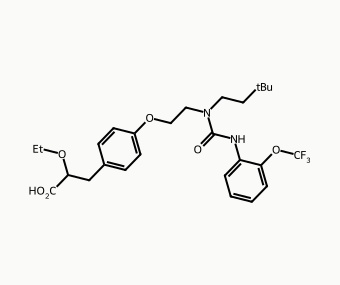 CCOC(Cc1ccc(OCCN(CCC(C)(C)C)C(=O)Nc2ccccc2OC(F)(F)F)cc1)C(=O)O